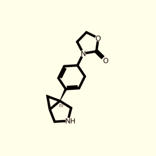 O=C1OCCN1C1C=CC([C@@]23CNCC2C3)=CC1